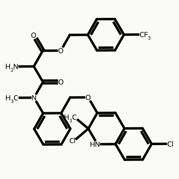 CN(C(=O)C(N)C(=O)OCc1ccc(C(F)(F)F)cc1)c1ccccc1COC1=Cc2cc(Cl)ccc2NC1(C)Cl